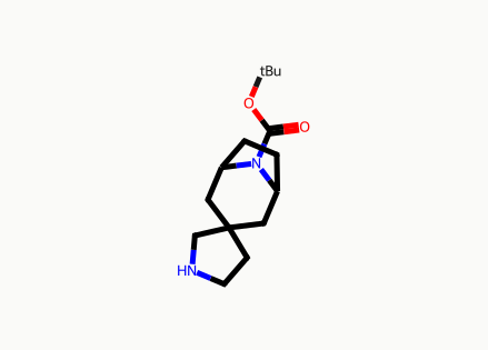 CC(C)(C)OC(=O)N1C2CCC1CC1(CCNC1)C2